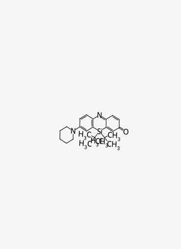 CC(C)(C)[Si]1(C(C)(C)C)C2=CC(=O)C=CC2=Nc2ccc(N3CCCCC3)cc21